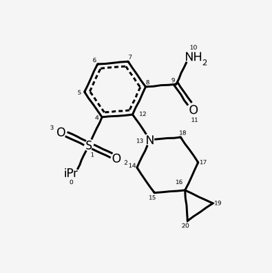 CC(C)S(=O)(=O)c1cccc(C(N)=O)c1N1CCC2(CC1)CC2